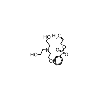 C=CCOS(=O)(=O)c1ccccc1.OCCN(CCO)CCO